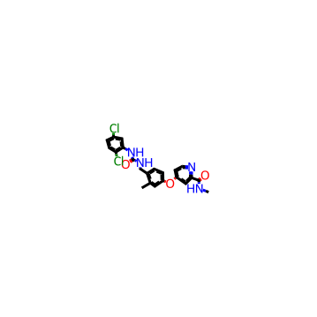 CNC(=O)c1cc(Oc2ccc(CNC(=O)Nc3cc(Cl)ccc3Cl)c(C)c2)ccn1